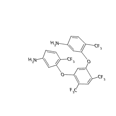 Nc1ccc(C(F)(F)F)c(Oc2cc(Oc3cc(N)ccc3C(F)(F)F)c(C(F)(F)F)cc2C(F)(F)F)c1